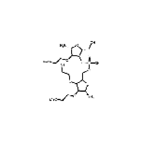 B[C@@H]1O[C@H](COP(=O)(S)OC2C(OCCOC)[C@H](B)O[C@@H]2CO)C(OCCS)C1OCCOC